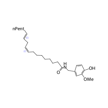 CCCCC/C=C/C/C=C\CCCCCCCC(=O)NCc1ccc(O)c(OC)c1